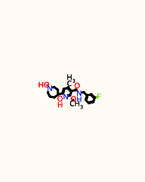 COc1nc(C2(O)CCCN(O)CC2)cc(C)c1C(=O)NCc1cccc(F)c1